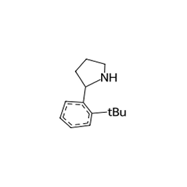 CC(C)(C)c1ccccc1C1CCCN1